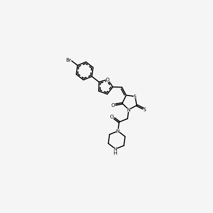 O=C(CN1C(=O)/C(=C\c2ccc(-c3ccc(Br)cc3)o2)SC1=S)N1CCNCC1